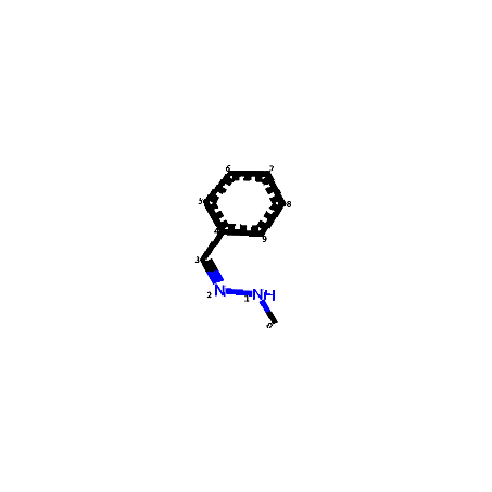 CN/N=C\c1ccccc1